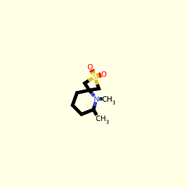 CC1CCCC2(CS(=O)(=O)C2)N1C